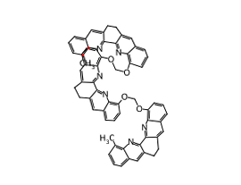 Cc1cccc2cc3c(nc12)-c1nc2c(OCOc4cccc5cc6c(nc45)-c4nc5c(OCOc7cccc8cc9c(nc78)-c7nc8c(C)cccc8cc7CC9)cccc5cc4CC6)cccc2cc1CC3